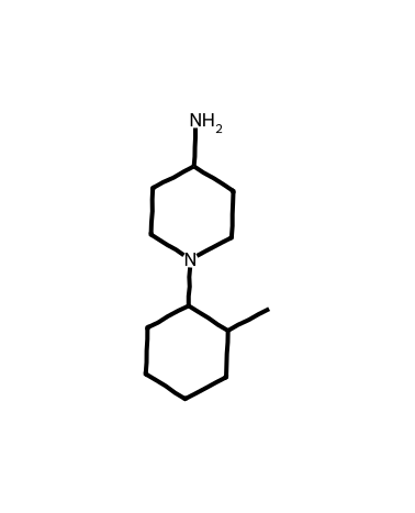 CC1CCCCC1N1CCC(N)CC1